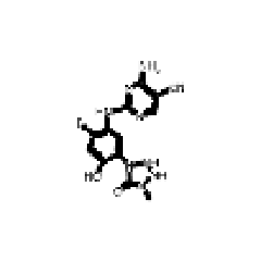 CN1NNN(c2cc(Nc3ncc(C#N)c(N)n3)c(F)cc2O)C1=O